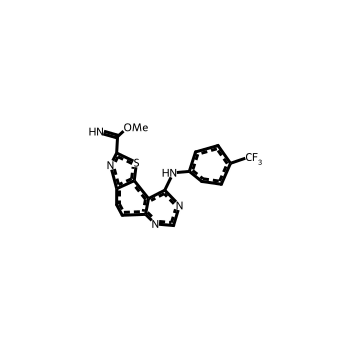 COC(=N)c1nc2ccc3ncnc(Nc4ccc(C(F)(F)F)cc4)c3c2s1